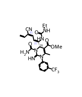 C=C/C(C#N)=C\C=C(/NC(=O)NCC)[C@@H]1C(C(=O)OC)=C(C)N(c2cccc(C(F)(F)F)c2)C(=N)N1C(N)=O